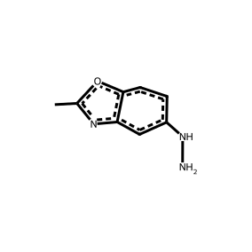 Cc1nc2cc(NN)ccc2o1